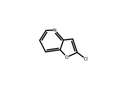 Clc1cc2ncccc2o1